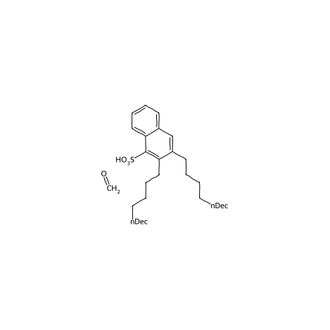 C=O.CCCCCCCCCCCCCCc1cc2ccccc2c(S(=O)(=O)O)c1CCCCCCCCCCCCCC